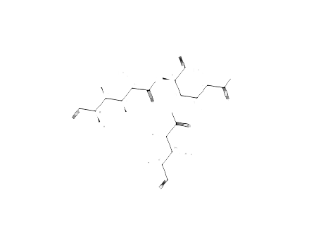 O=C[C@H](OC(=O)[C@@H](O)[C@@H](O)[C@H](O)[C@@H](O)C=O)[C@@H](OC(=O)[C@@H](O)[C@H](O)[C@@H](O)C=O)[C@@H](O)[C@H](O)C(=O)O